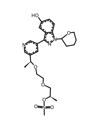 C[C@H](COCCO[C@@H](C)c1cncc(-c2nn(C3CCCCO3)c3ccc(O)cc23)c1)OS(C)(=O)=O